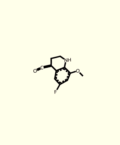 COc1cc(F)cc2c1NCCC2=C=O